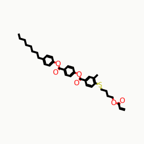 C=CC(=O)OCCCCSc1ccc(C(=O)Oc2ccc(C(=O)Oc3ccc(CCCCCCCC)cc3)cc2)cc1C